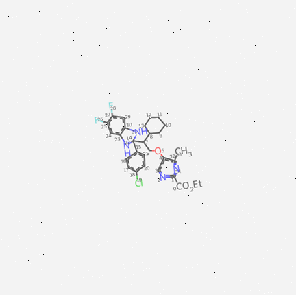 CCOC(=O)c1ncc(OCC(C2CCCCC2)C2(c3ccc(Cl)cc3)Nc3cc(F)c(F)cc3N2)c(C)n1